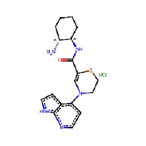 Cl.N[C@@H]1CCCC[C@H]1NC(=O)C1=CN(c2ccnc3[nH]ccc23)CCS1